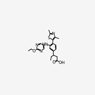 CCOc1ncc(Nc2cc(C(CC)CC(=O)O)ccc2-c2sc(C)nc2C)cn1